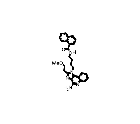 COCCc1nc2c(N)nc3ccccc3c2n1CCCCNC(=O)c1cccc2ccccc12